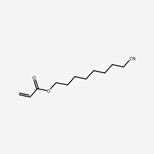 C=CC(=O)OCCCCCCCCC#N